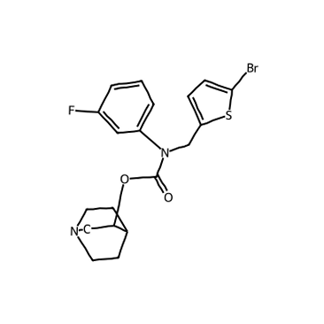 O=C(OC1CN2CCC1CC2)N(Cc1ccc(Br)s1)c1cccc(F)c1